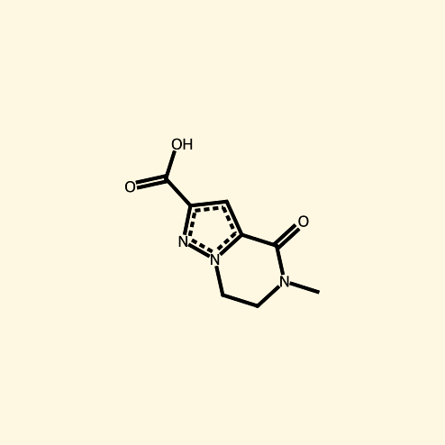 CN1CCn2nc(C(=O)O)cc2C1=O